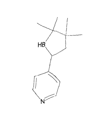 CC1(C)BC(c2ccncc2)CC1(C)C